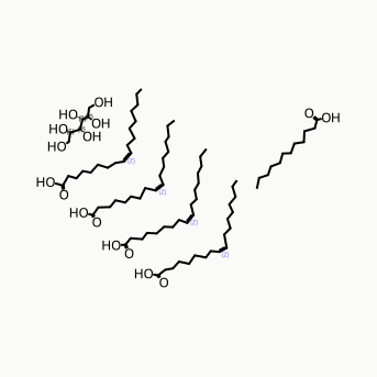 CCCCCCCC/C=C\CCCCCCCC(=O)O.CCCCCCCC/C=C\CCCCCCCC(=O)O.CCCCCCCC/C=C\CCCCCCCC(=O)O.CCCCCCCC/C=C\CCCCCCCC(=O)O.CCCCCCCCCCCC(=O)O.OC[C@@H](O)[C@@H](O)[C@H](O)[C@@H](O)CO